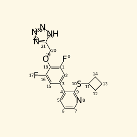 Fc1cc(-c2cccnc2SC2CCC2)cc(F)c1OCc1nnn[nH]1